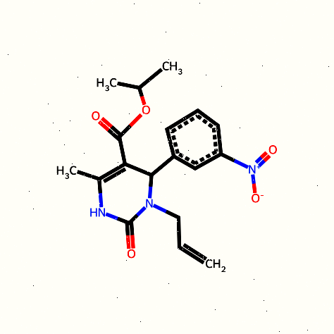 C=CCN1C(=O)NC(C)=C(C(=O)OC(C)C)C1c1cccc([N+](=O)[O-])c1